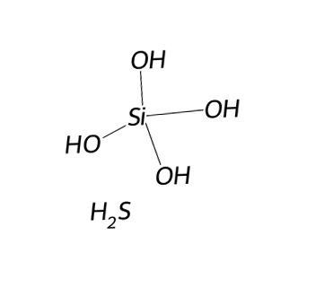 O[Si](O)(O)O.S